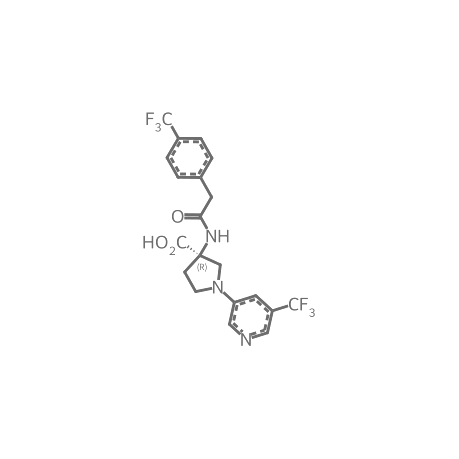 O=C(Cc1ccc(C(F)(F)F)cc1)N[C@]1(C(=O)O)CCN(c2cncc(C(F)(F)F)c2)C1